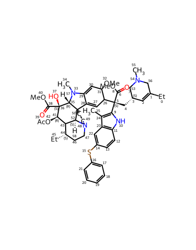 CCC1=C[C@H](C[C@@](C(=O)OC)(c2[nH]c3ccc(Sc4ccccc4)cc3c2C)C2C=C3C(=CC2OC)N(C)[C@H]2[C@@](O)(C(=O)OC)[C@H](OC(C)=O)C4[C@@H](CC)CCN5CC[C@]32[C@H]45)CN(C)C1